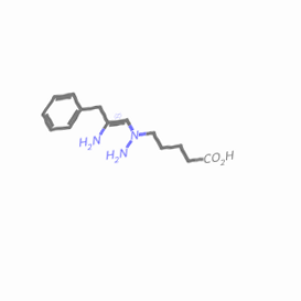 N/C(=C\N(N)CCCCC(=O)O)Cc1ccccc1